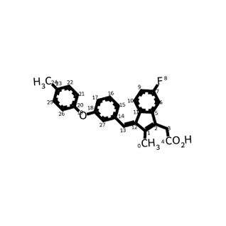 CC1=C(CC(=O)O)c2cc(F)ccc2/C1=C\c1cccc(Oc2ccc(C)cc2)c1